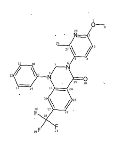 COc1ccc(N2CN(c3ccccc3)c3cc(C(F)(F)F)ccc3C2=O)c(C)n1